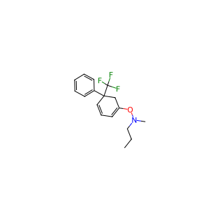 CCCN(C)OC1=CC=CC(c2ccccc2)(C(F)(F)F)C1